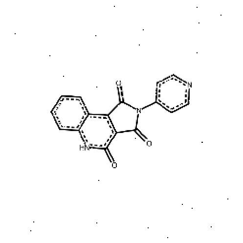 O=C1c2c(c3ccccc3[nH]c2=O)C(=O)N1c1ccncc1